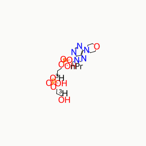 [3H]C(O)CCOP(=O)(O)OC([3H])CCOP(=O)(O)OC(CCC)n1cnc2c(N3CCOCC3)ncnc21